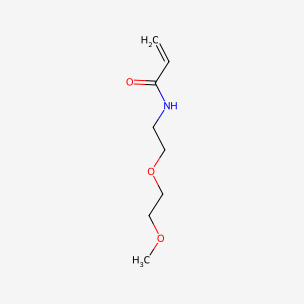 C=CC(=O)NCCOCCOC